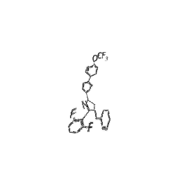 Fc1cccc(F)c1C1=NC(c2ccc(-c3ccc(OC(F)(F)F)cc3)cc2)CC1=Cc1ccccc1